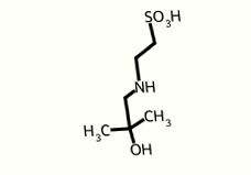 CC(C)(O)CNCCS(=O)(=O)O